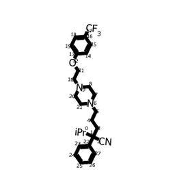 CC(C)C(C#N)(CCCN1CCN(CCOc2ccc(C(F)(F)F)cc2)CC1)c1ccccc1